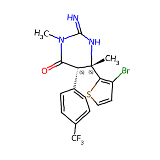 CN1C(=N)N[C@](C)(c2sccc2Br)[C@H](c2ccc(C(F)(F)F)cc2)C1=O